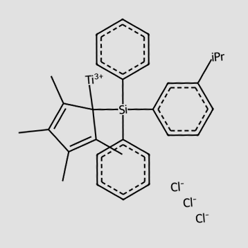 CC1=C(C)[C]([Ti+3])([Si](c2ccccc2)(c2ccccc2)c2cccc(C(C)C)c2)C(C)=C1C.[Cl-].[Cl-].[Cl-]